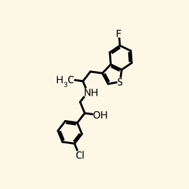 CC(Cc1csc2ccc(F)cc12)NCC(O)c1cccc(Cl)c1